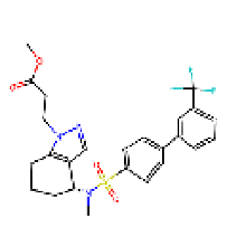 COC(=O)CCn1ncc2c1CCC[C@H]2N(C)S(=O)(=O)c1ccc(-c2cccc(C(F)(F)F)c2)cc1